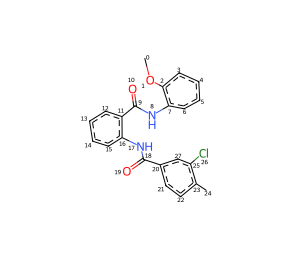 COc1ccccc1NC(=O)c1ccccc1NC(=O)c1ccc(C)c(Cl)c1